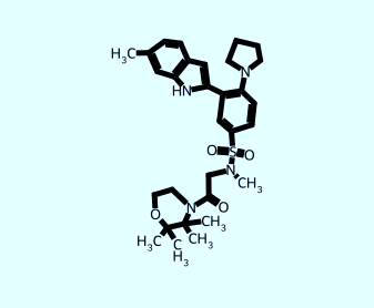 Cc1ccc2cc(-c3cc(S(=O)(=O)N(C)CC(=O)N4CCOC(C)(C)C4(C)C)ccc3N3CCCC3)[nH]c2c1